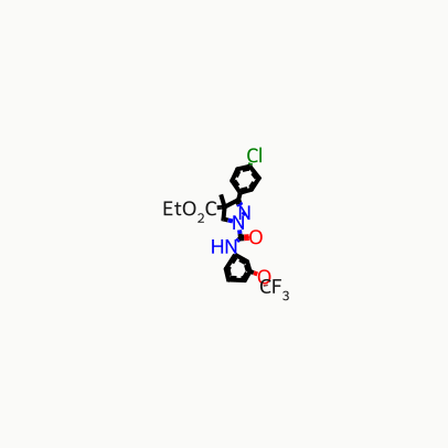 CCOC(=O)C1(C)CN(C(=O)Nc2cccc(OC(F)(F)F)c2)N=C1c1ccc(Cl)cc1